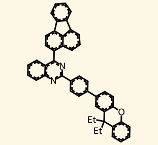 CCC1(CC)c2ccccc2Oc2ccc(-c3ccc(-c4nc(-c5ccc6c7c(cccc57)-c5ccccc5-6)c5ccccc5n4)cc3)cc21